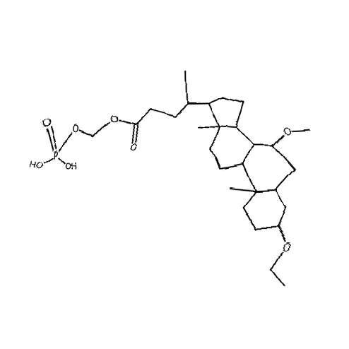 CCOC1CCC2(C)C(C1)CC(OC)C1C2CCC2(C)C(C(C)CCC(=O)OCOP(=O)(O)O)CCC12